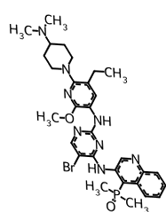 CCc1cc(Nc2ncc(Br)c(Nc3cnc4ccccc4c3P(C)(C)=O)n2)c(OC)nc1N1CCC(N(C)C)CC1